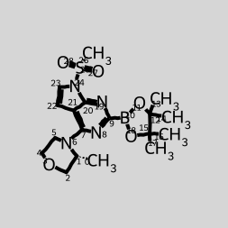 C[C@@H]1COCCN1c1nc(B2OC(C)(C)C(C)(C)O2)nc2c1ccn2S(C)(=O)=O